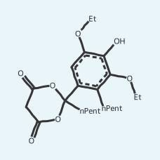 CCCCCc1c(C2(CCCCC)OC(=O)CC(=O)O2)cc(OCC)c(O)c1OCC